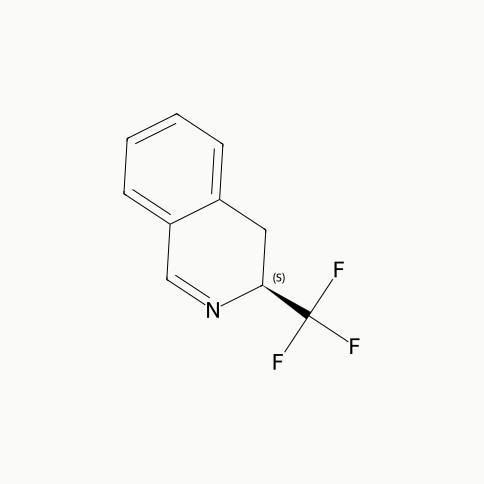 FC(F)(F)[C@@H]1Cc2ccccc2C=N1